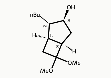 CCCC[C@H]1[C@@H]2CC(OC)(OC)[C@@H]2C[C@@H]1O